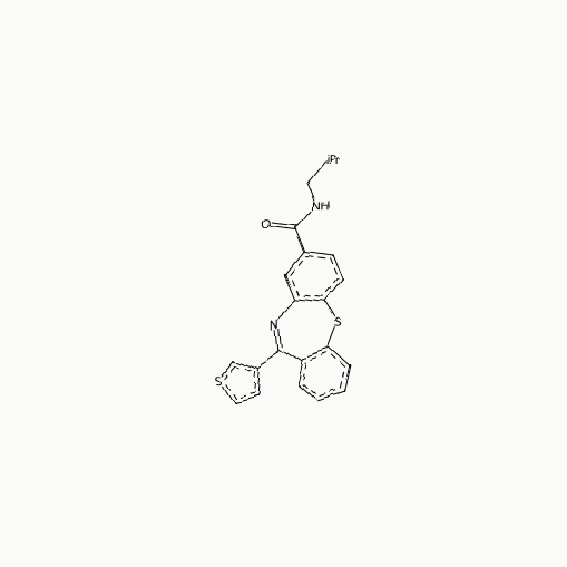 CC(C)CNC(=O)c1ccc2c(c1)N=C(c1ccsc1)c1ccccc1S2